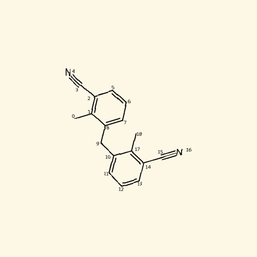 Cc1c(C#N)cccc1Cc1cccc(C#N)c1C